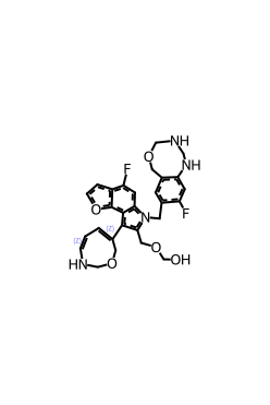 OCOCc1c(/C2=C/C=C\NCOC2)c2c3occc3c(F)cc2n1Cc1cc2c(cc1F)NCNCOC2